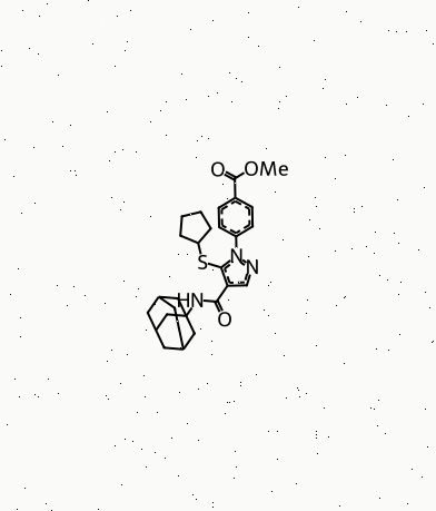 COC(=O)c1ccc(-n2ncc(C(=O)NC34CC5CC(CC(C5)C3)C4)c2SC2CCCC2)cc1